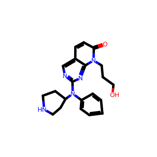 O=c1ccc2cnc(N(c3ccccc3)C3CCNCC3)nc2n1CCCO